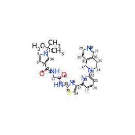 CC(C)(C)n1ccc(C(=O)NCC(=O)Nc2nc(-c3cccc(N4CCc5cnccc5C4)n3)cs2)c1